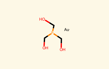 OCP(CO)CO.[Au]